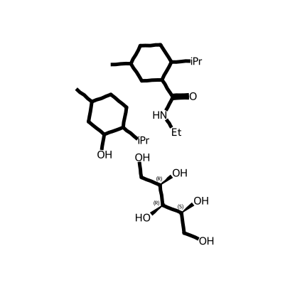 CC1CCC(C(C)C)C(O)C1.CCNC(=O)C1CC(C)CCC1C(C)C.OC[C@@H](O)[C@H](O)[C@@H](O)CO